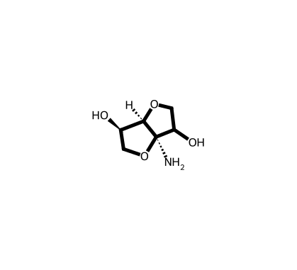 N[C@]12OC[C@@H](O)[C@H]1OCC2O